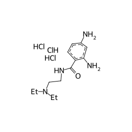 CCN(CC)CCNC(=O)c1ccc(N)cc1N.Cl.Cl.Cl